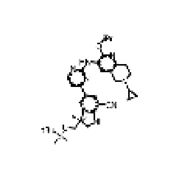 CC(C)Oc1nc2c(cc1Nc1nccc(-c3cc(C#N)c4c(c3)[C@@](C)(CO[Si](C)(C)C(C)(C)C)CN4)n1)CN(C1CC1)CC2